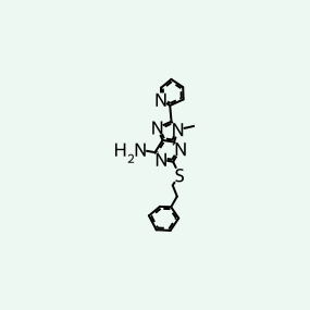 Cn1c(-c2ccccn2)nc2c(N)nc(SCCc3ccccc3)nc21